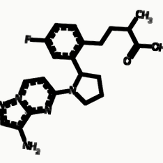 CC(CCc1ccc(F)cc1C1CCCN1c1ccn2ncc(N)c2n1)C(=O)O